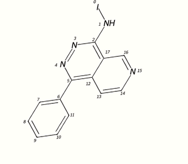 INc1nnc(-c2ccccc2)c2ccncc12